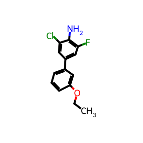 CCOc1cccc(-c2cc(F)c(N)c(Cl)c2)c1